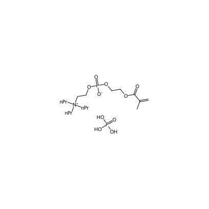 C=C(C)C(=O)OCCOP(=O)([O-])OCC[N+](CCC)(CCC)CCC.O=P(O)(O)O